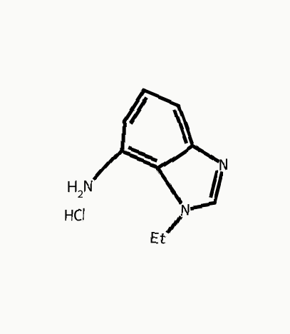 CCn1cnc2cccc(N)c21.Cl